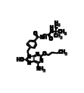 CCCCOc1nc(N)c2nc(O)n(Cc3ccc(C(=O)NCC(=O)NC(C)(C)C)cc3)c2n1